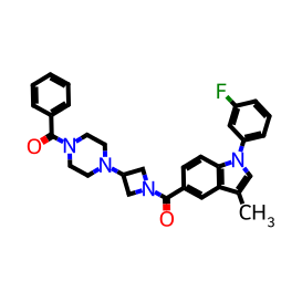 Cc1cn(-c2cccc(F)c2)c2ccc(C(=O)N3CC(N4CCN(C(=O)c5ccccc5)CC4)C3)cc12